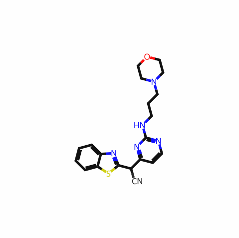 N#CC(c1ccnc(NCCCN2CCOCC2)n1)c1nc2ccccc2s1